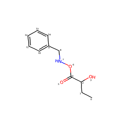 CCC(O)C(=O)ONCc1ccccc1